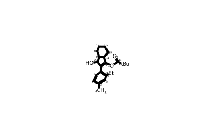 CCc1cc(C)ccc1C1=C(OC(=O)C(C)(C)C)C2CCCCC2C1O